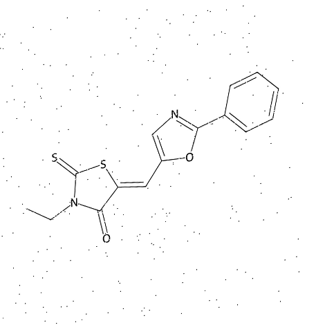 CCN1C(=O)C(=Cc2cnc(-c3ccccc3)o2)SC1=S